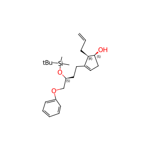 C=CC[C@@H]1C(CC[C@@H](COc2ccccc2)O[Si](C)(C)C(C)(C)C)=CC[C@@H]1O